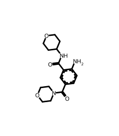 Nc1ccc(C(=O)N2CCOCC2)cc1C(=O)NC1CCOCC1